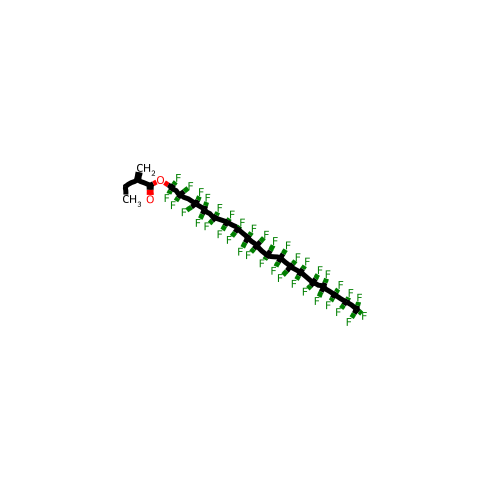 C=C(CC)C(=O)OC(F)(F)C(F)(F)C(F)(F)C(F)(F)C(F)(F)C(F)(F)C(F)(F)C(F)(F)C(F)(F)C(F)(F)C(F)(F)C(F)(F)C(F)(F)C(F)(F)C(F)(F)C(F)(F)C(F)(F)C(F)(F)F